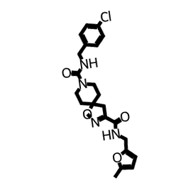 Cc1ccc(CNC(=O)C2=NOC3(CCN(C(=O)NCc4ccc(Cl)cc4)CC3)C2)o1